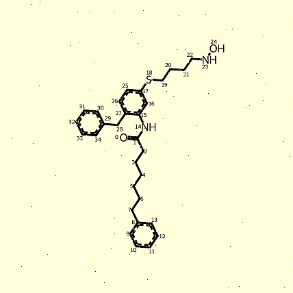 O=C(CCCCCCc1ccccc1)Nc1cc(SCCCCNO)ccc1Cc1ccccc1